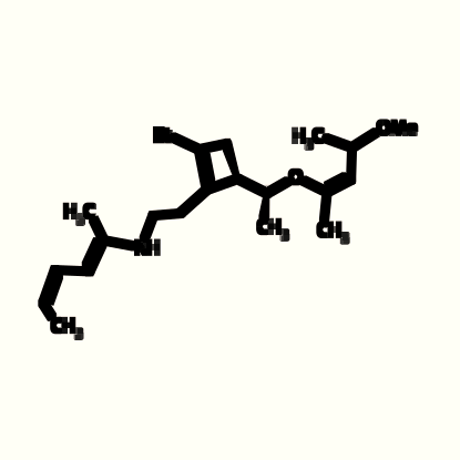 C/C=C\C=C(/C)NCCC1=C(CC)C[C@H]1[C@H](C)O/C(C)=C\C(C)OC